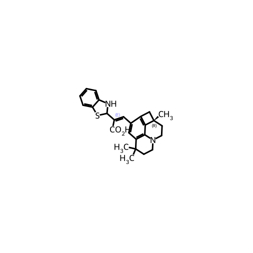 CC1(C)CCN2CC[C@@]3(C)Cc4c(/C=C(\C(=O)O)C5Nc6ccccc6S5)cc1c2c43